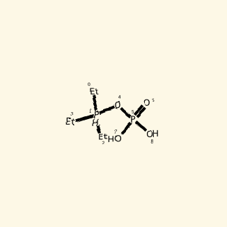 CC[PH](CC)(CC)OP(=O)(O)O